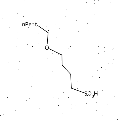 [CH2]CCCCCOCCCCS(=O)(=O)O